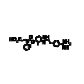 Cc1c(OC(=O)N(CCC(=O)O)c2ccccn2)ccc2[nH]c(CCc3ccc(C(=N)N)cc3)nc12